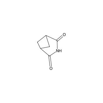 O=C1NC(=O)C2CC1C2